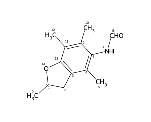 C[C]1Cc2c(C)c(NC=O)c(C)c(C)c2O1